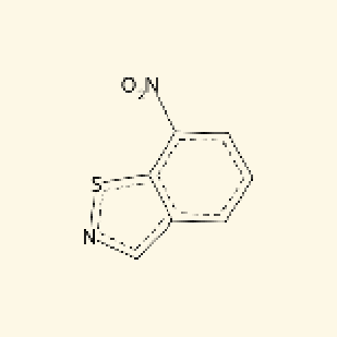 O=[N+]([O-])c1cccc2cnsc12